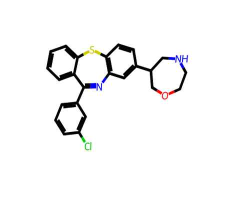 Clc1cccc(C2=Nc3cc(C4CNCCOC4)ccc3Sc3ccccc32)c1